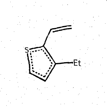 C=Cc1sccc1CC